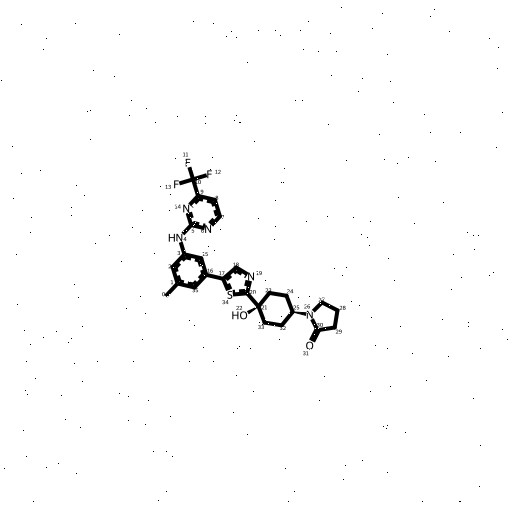 Cc1cc(Nc2nccc(C(F)(F)F)n2)cc(-c2cnc([C@]3(O)CC[C@@H](N4CCCC4=O)CC3)s2)c1